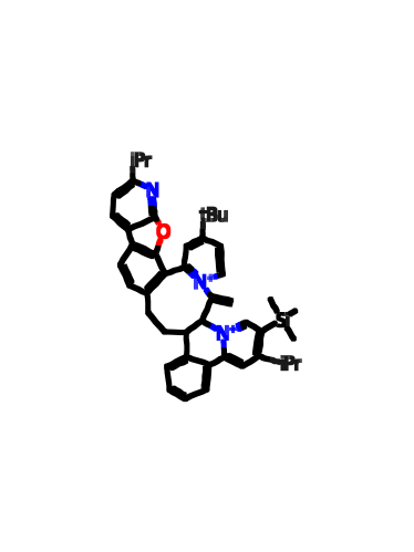 C=C1C2C(CCc3ccc4c(oc5nc(C(C)C)ccc54)c3-c3cc(C(C)(C)C)cc[n+]31)c1ccccc1-c1cc(C(C)C)c([Si](C)(C)C)c[n+]12